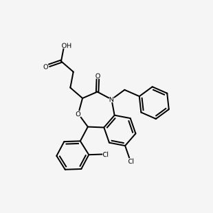 O=C(O)CCC1OC(c2ccccc2Cl)c2cc(Cl)ccc2N(Cc2ccccc2)C1=O